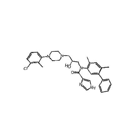 Cc1cc(C)c(N(CC(O)CN2CCN(c3cccc(Cl)c3C)CC2)C(=O)c2c[nH]cn2)cc1-c1ccccc1